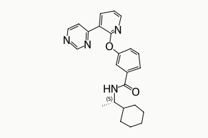 C[C@H](NC(=O)c1cccc(Oc2ncccc2-c2ccncn2)c1)C1CCCCC1